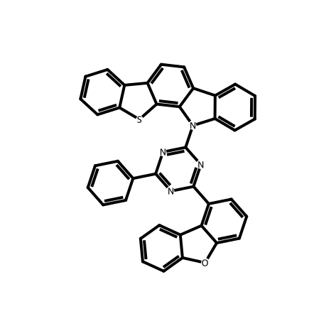 c1ccc(-c2nc(-c3cccc4oc5ccccc5c34)nc(-n3c4ccccc4c4ccc5c6ccccc6sc5c43)n2)cc1